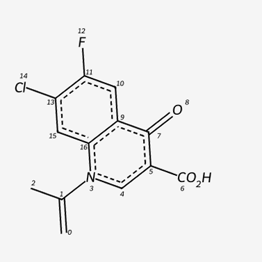 C=C(C)n1cc(C(=O)O)c(=O)c2cc(F)c(Cl)cc21